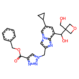 O=C(OCc1ccccc1)c1cn(Cc2cn3cc(C4CC4)cc(C(O)C4(CO)COC4)c3n2)nn1